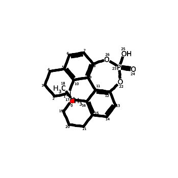 CN1CCCc2ccc3c(c21)-c1c(ccc2c1N(C)CCC2)OP(=O)(O)O3